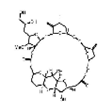 C=C1CC2CCC(=O)C[C@H]3O[C@H]4[C@@H](O)[C@H]5OC(CC[C@@H]5O[C@H]4[C@H]3O)CC(=O)C[C@H]3C(CC4O[C@@H](CCC1O2)C[C@@H](C)C4=C)OC(C[C@H](O)CO)[C@@H]3OC